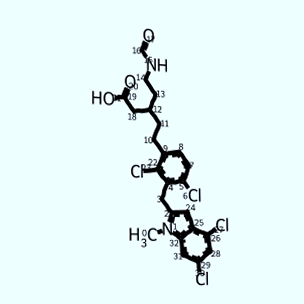 Cn1c(Cc2c(Cl)ccc(CCC(CCNC=O)CC(=O)O)c2Cl)cc2c(Cl)cc(Cl)cc21